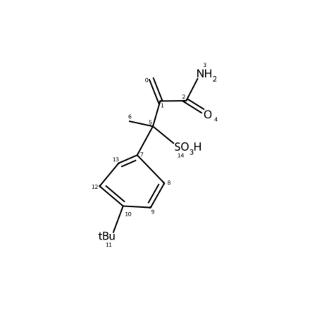 C=C(C(N)=O)C(C)(c1ccc(C(C)(C)C)cc1)S(=O)(=O)O